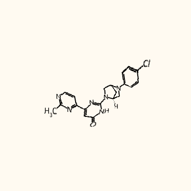 Cc1nccc(-c2cc(=O)[nH]c(N3CC4C[C@H]3CN4c3ccc(Cl)cc3)n2)n1